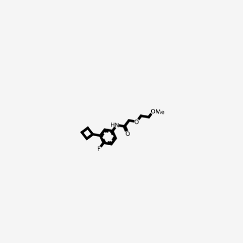 COCCOCC(=O)Nc1ccc(F)c(C2CCC2)c1